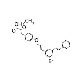 CCOC(Cc1ccc(OCC=Cc2cc(Br)cc(C=Cc3ccccc3)c2)cc1)C(=O)O